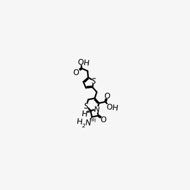 N[C@@H]1C(=O)N2C(C(=O)O)=C(Cc3ccc(CC(=O)O)s3)CS[C@@H]12